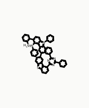 Cc1ccccc1-c1ccc2c(c1Nc1ccccc1)c1cc(-c3ccc4sc5cccc(-c6nc(-c7ccccc7)nc(-c7ccccc7)n6)c5c4c3)ccc1n2-c1ccccc1